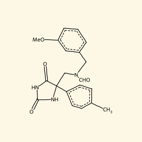 COc1cccc(CN(C=O)CC2(c3ccc(C)cc3)NC(=O)NC2=O)c1